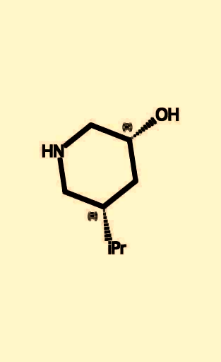 CC(C)[C@@H]1CNC[C@H](O)C1